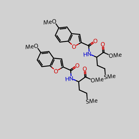 COC(=O)C(CCSC)NC(=O)c1cc2cc(OC)ccc2o1.COC(=O)C(CCSC)NC(=O)c1cc2cc(OC)ccc2o1